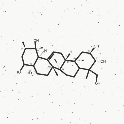 C[C@@H]1CC(O)[C@]2(C(=O)O)CC[C@]3(C)C(=CC[C@@H]4[C@@]5(C)C[C@@H](O)[C@H](O)C(C)(CO)C5CC[C@]43C)[C@@H]2[C@]1(C)O